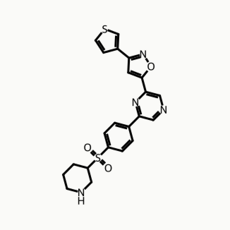 O=S(=O)(c1ccc(-c2cncc(-c3cc(-c4ccsc4)no3)n2)cc1)C1CCCNC1